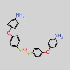 Nc1ccc(Oc2ccc(SOSc3ccc(Oc4ccc(N)cc4)cc3)cc2)cc1